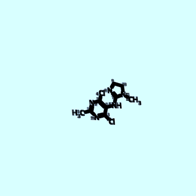 Cc1nc(Cl)c(NC2=NCCN2C)c(Cl)n1